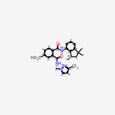 C[C@@H]1CC(C)(C)c2cccc(NC(=O)c3ccc(C(=O)O)cc3C(N)=O)c21.Cn1ccc(C(F)(F)F)n1